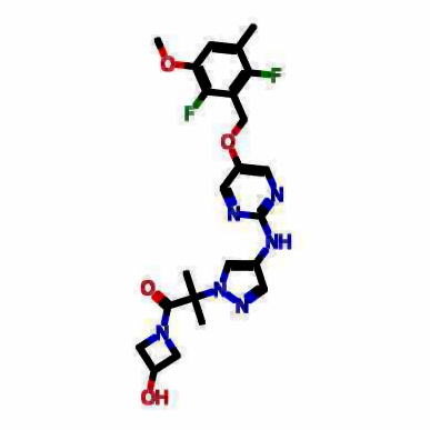 COc1cc(C)c(F)c(COc2cnc(Nc3cnn(C(C)(C)C(=O)N4CC(O)C4)c3)nc2)c1F